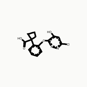 O=C(O)C1(c2ccccc2Oc2nnc(Cl)cc2O)CCC1